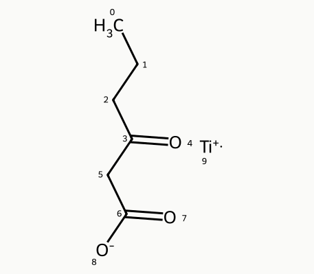 CCCC(=O)CC(=O)[O-].[Ti+]